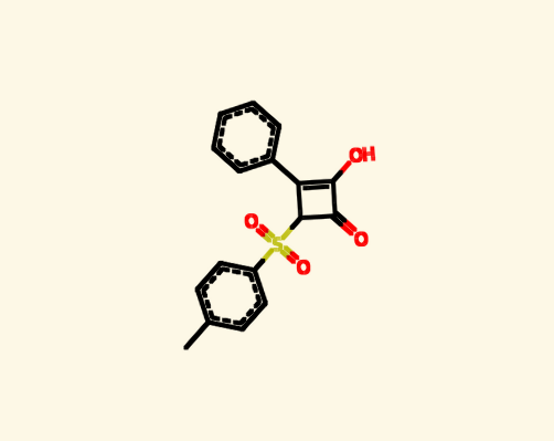 Cc1ccc(S(=O)(=O)C2C(=O)C(O)=C2c2ccccc2)cc1